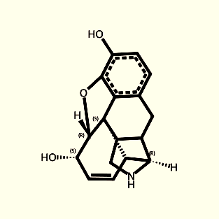 Oc1ccc2c3c1O[C@H]1[C@@H](O)C=CC4[C@@H]5NCC(C5C2)[C@@]341